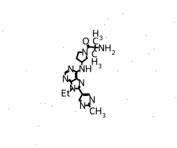 CCn1c(-c2cnc(C)nc2)nc2c(NC3CCN(C(=O)C(C)(C)N)C3)ncnc21